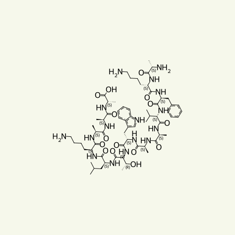 CC(C)C[C@H](NC(=O)[C@@H](NC(=O)[C@H](Cc1c[nH]c2ccccc12)NC(=O)[C@H](C)NC(=O)[C@H](C)NC(=O)[C@@H](NC(=O)[C@H](Cc1ccccc1)NC(=O)[C@H](CCCCN)NC(=O)[C@H](C)N)C(C)C)[C@@H](C)O)C(=O)N[C@@H](CCCCN)C(=O)N[C@@H](C)C(=O)N[C@@H](C)C(=O)N[C@@H](C)C(=O)O